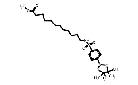 COC(=O)CCCCCCCCCCCNS(=O)(=O)c1ccc(B2OC(C)(C)C(C)(C)O2)cc1